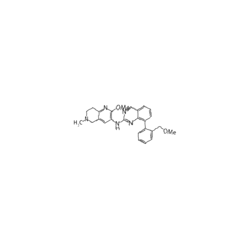 COCc1ccccc1-c1cccc2cnc(Nc3cc4c(nc3OC)CCN(C)C4)nc12